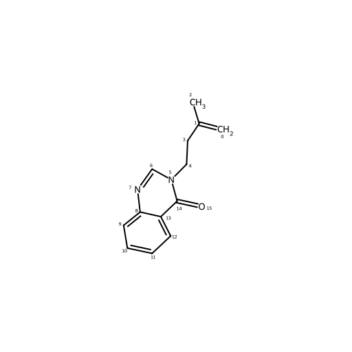 C=C(C)CCn1cnc2ccccc2c1=O